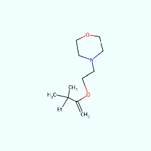 C=C(OCCN1CCOCC1)C(C)(C)CC